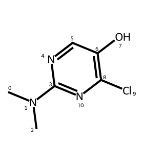 CN(C)c1ncc(O)c(Cl)n1